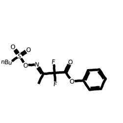 CCCCS(=O)(=O)ON=C(C)C(F)(F)C(=O)Oc1ccccc1